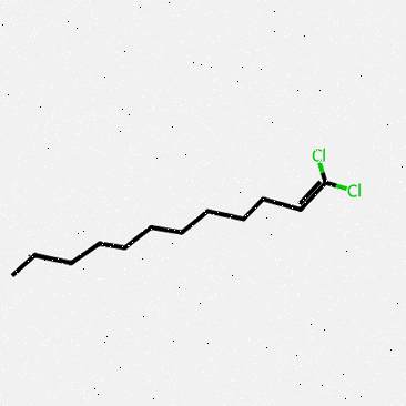 C[CH]CCCCCCCCC=C(Cl)Cl